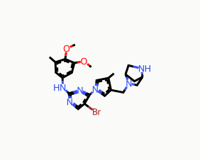 COc1cc(Nc2ncc(Br)c(-n3cc(C)c(CN4CC5CC4CN5)c3)n2)cc(C)c1OC